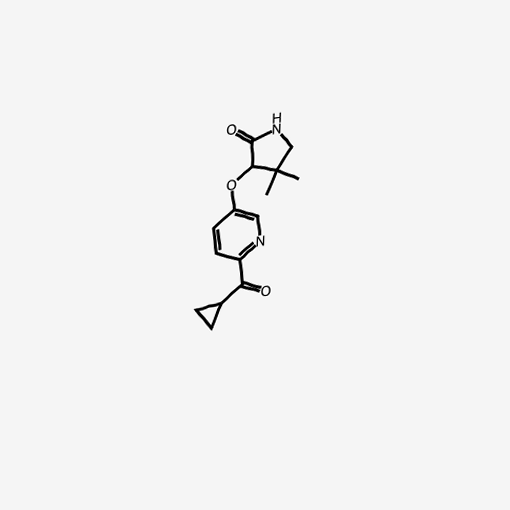 CC1(C)CNC(=O)C1Oc1ccc(C(=O)C2CC2)nc1